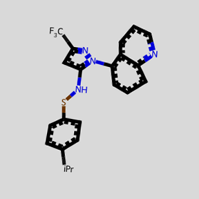 CC(C)c1ccc(SNc2cc(C(F)(F)F)nn2-c2cccc3ncccc23)cc1